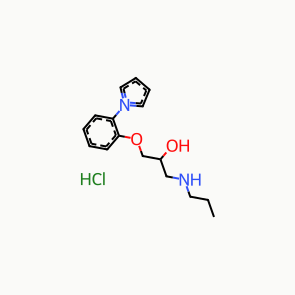 CCCNCC(O)COc1ccccc1-n1cccc1.Cl